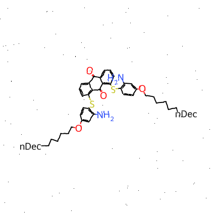 CCCCCCCCCCCCCCCCOc1ccc(Sc2cccc3c2C(=O)c2c(Sc4ccc(OCCCCCCCCCCCCCCCC)cc4N)cccc2C3=O)c(N)c1